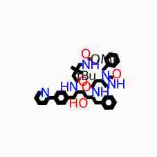 COC(=O)NCC(C)(C)CC(=O)NC(Cc1ccc(-c2ccccn2)cc1)CC(O)C(Cc1ccccc1)NC(=O)C(C1CNC(=O)N1Cc1ccccc1)C(C)(C)C